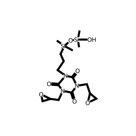 C[Si](C)(O)O[Si](C)(C)CCCn1c(=O)n(CC2CO2)c(=O)n(CC2CO2)c1=O